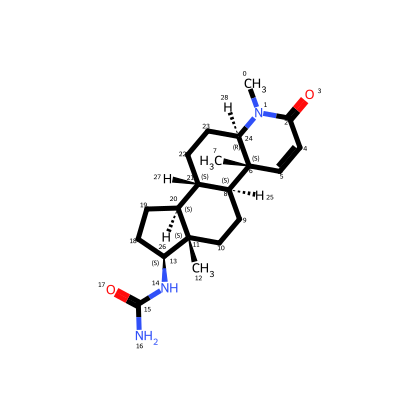 CN1C(=O)C=C[C@]2(C)[C@H]3CC[C@]4(C)[C@@H](NC(N)=O)CC[C@H]4[C@@H]3CC[C@@H]12